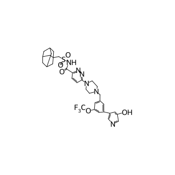 O=C(NS(=O)(=O)CC12CC3CC(CC(C3)C1)C2)c1ccc(N2CCN(Cc3cc(OC(F)(F)F)cc(-c4cncc(O)c4)c3)CC2)nn1